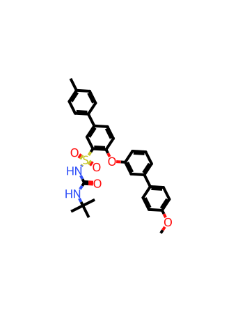 COc1ccc(-c2cccc(Oc3ccc(-c4ccc(C)cc4)cc3S(=O)(=O)NC(=O)NC(C)(C)C)c2)cc1